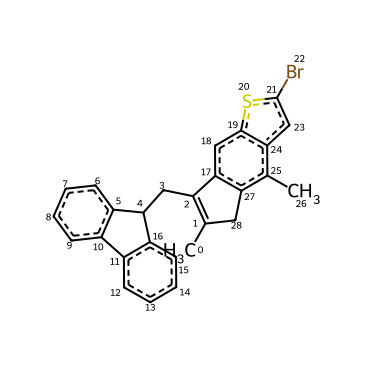 CC1=C(CC2c3ccccc3-c3ccccc32)c2cc3sc(Br)cc3c(C)c2C1